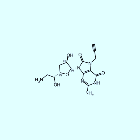 C#CCn1c(=O)n([C@@H]2O[C@H](C(O)CN)C[C@H]2O)c2nc(N)[nH]c(=O)c21